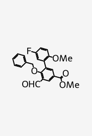 COC(=O)c1cc(C=O)c(OCc2ccccc2)c(-c2cc(F)ccc2OC)c1